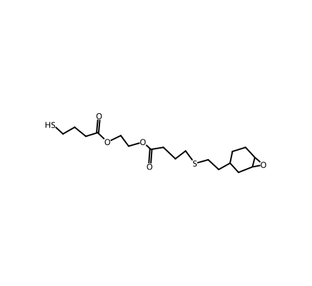 O=C(CCCS)OCCOC(=O)CCCSCCC1CCC2OC2C1